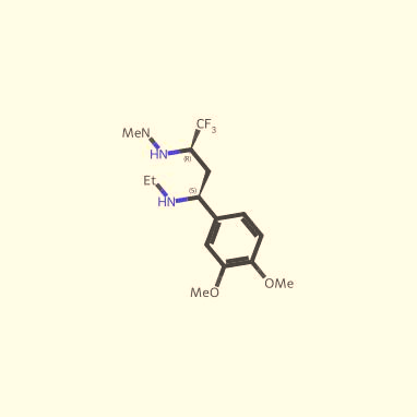 CCN[C@@H](C[C@@H](NNC)C(F)(F)F)c1ccc(OC)c(OC)c1